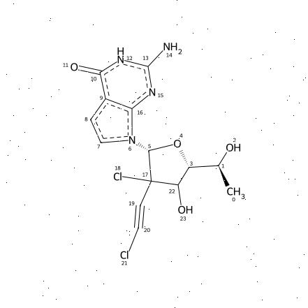 C[C@H](O)[C@H]1O[C@@H](n2ccc3c(=O)[nH]c(N)nc32)C(Cl)(C#CCl)C1O